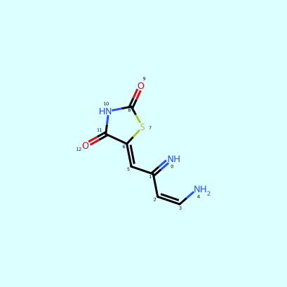 N=C(/C=C\N)/C=C1\SC(=O)NC1=O